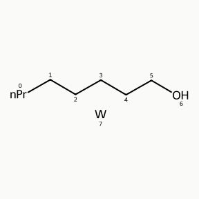 CCCCCCCCO.[W]